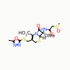 CO[C@@]1(NC(=O)C[S+](C)[O-])C(=O)N2C(C(=O)O)=C(CSc3nnc(C)o3)CS[C@@H]21